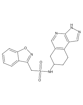 O=S(=O)(Cc1noc2ccccc12)NC1CCc2c(cnc3[nH]ncc23)C1